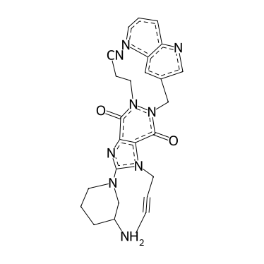 CC#CCn1c(N2CCCC(N)C2)nc2c(=O)n(CCC#N)n(Cc3cnc4cccnc4c3)c(=O)c21